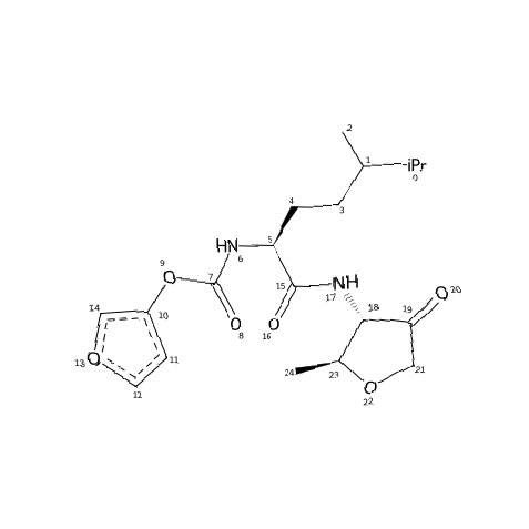 CC(C)C(C)CC[C@H](NC(=O)Oc1ccoc1)C(=O)N[C@@H]1C(=O)CO[C@H]1C